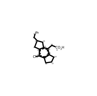 CC(C)CC1Cc2c(Cl)c3c(c(CC(=O)O)c2C1)CCC3